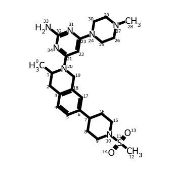 CC1Cc2ccc(C3CCN(S(C)(=O)=O)CC3)cc2CN1c1cc(N2CCN(C)CC2)nc(N)n1